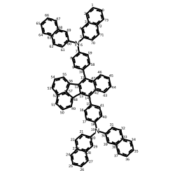 c1ccc2cc(N(c3ccc(-c4c5c(c(-c6ccc(N(c7ccc8ccccc8c7)c7ccc8ccccc8c7)cc6)c6ccccc46)-c4cccc6cccc-5c46)cc3)c3ccc4ccccc4c3)ccc2c1